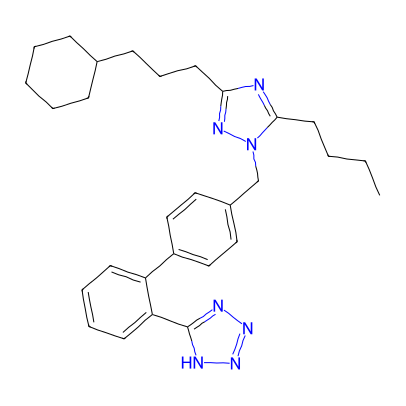 CCCCc1nc(CCCC2CCCCC2)nn1Cc1ccc(-c2ccccc2-c2nnn[nH]2)cc1